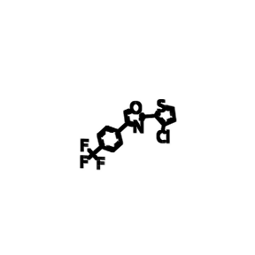 FC(F)(F)c1ccc(-c2coc(-c3sccc3Cl)n2)cc1